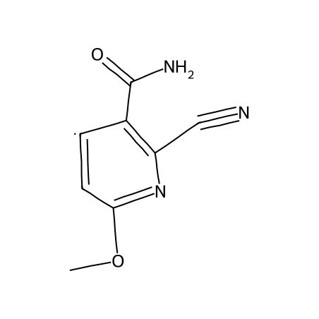 COc1c[c]c(C(N)=O)c(C#N)n1